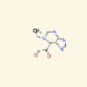 CCn1cnc2ncnc-2c1C(=O)C=O